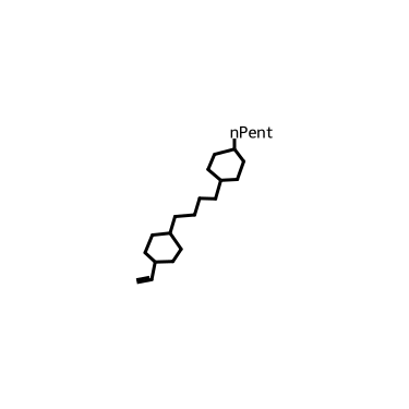 C=CC1CCC(CCCCC2CCC(CCCCC)CC2)CC1